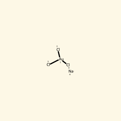 [Cl][Au]([Cl])[Cl].[Na]